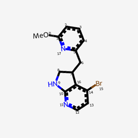 COc1cccc(CC2CNc3nccc(Br)c32)n1